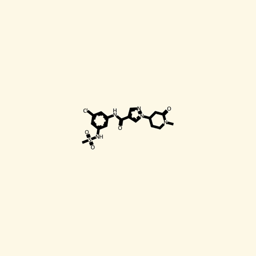 CN1CCC(n2cc(C(=O)Nc3cc(Cl)cc(NS(C)(=O)=O)c3)cn2)CC1=O